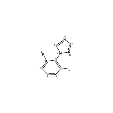 Cc1cccc(F)c1-n1cncn1